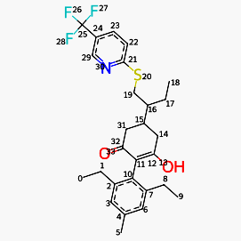 CCc1cc(C)cc(CC)c1C1=C(O)CC(C(CC)CSc2ccc(C(F)(F)F)cn2)CC1=O